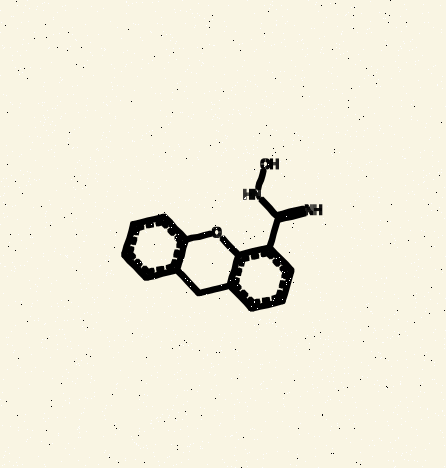 N=C(NO)c1cccc2c1Oc1ccccc1C2